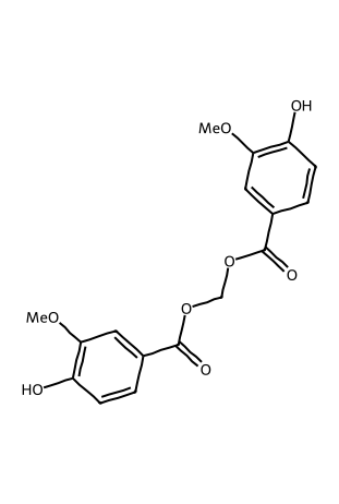 COc1cc(C(=O)OCOC(=O)c2ccc(O)c(OC)c2)ccc1O